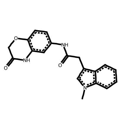 Cn1cc(CC(=O)Nc2ccc3c(c2)NC(=O)CO3)c2ccccc21